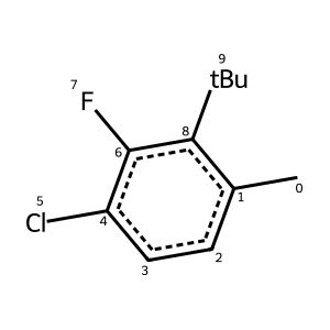 Cc1ccc(Cl)c(F)c1C(C)(C)C